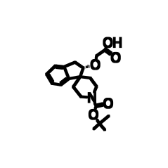 CC(C)(C)OC(=O)N1CCC2(CC1)c1ccccc1C[C@@H]2OCC(=O)O